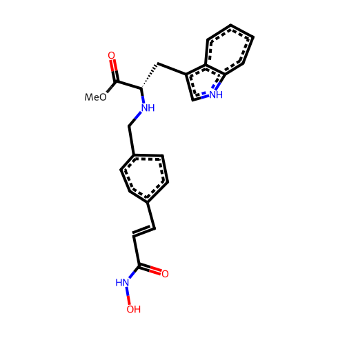 COC(=O)[C@H](Cc1c[nH]c2ccccc12)NCc1ccc(/C=C/C(=O)NO)cc1